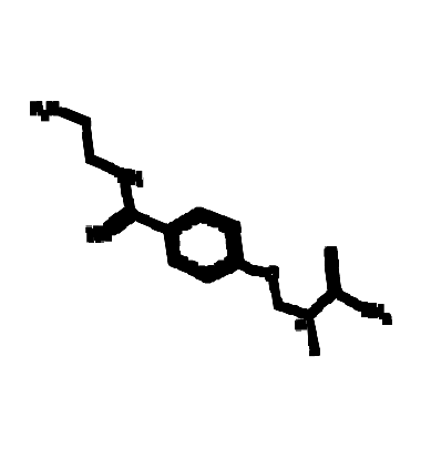 C[C@@H](COc1ccc(C(=N)NCCN)cc1)C(N)=O